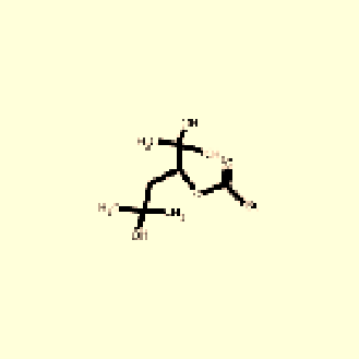 CCC(C)C(=O)OC(CC(C)(C)O)C(C)(C)O